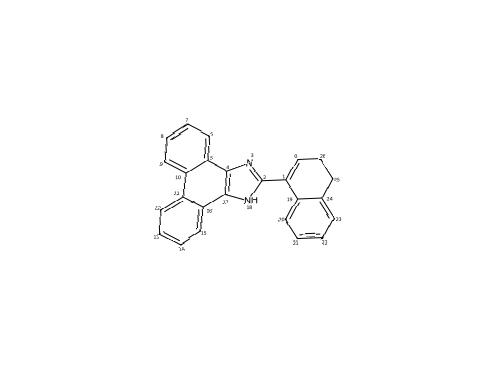 C1=C(c2nc3c4ccccc4c4ccccc4c3[nH]2)c2ccccc2CC1